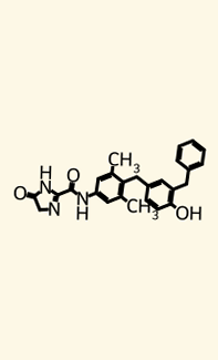 Cc1cc(NC(=O)C2=NCC(=O)N2)cc(C)c1Cc1ccc(O)c(Cc2ccccc2)c1